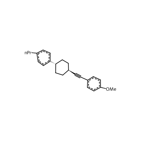 CCCc1ccc([C@H]2CC[C@H](C#Cc3ccc(OC)cc3)CC2)cc1